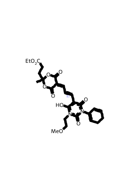 CCOC(=O)CCC1(C)OC(=O)C(=C/C=C/c2c(O)n(CCOC)c(=O)n(C3=CCCC=C3)c2=O)C(=O)O1